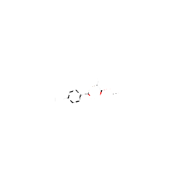 CCOC(=O)C(C)SC(=O)c1ccc(C)cc1